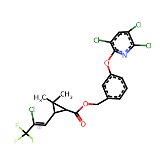 CC1(C)C(/C=C(\Cl)C(F)(F)F)C1C(=O)OCc1cccc(Oc2nc(Cl)c(Cl)cc2Cl)c1